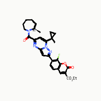 CCOC(=O)c1cc2ccc(-c3cc4nc(C(=O)N5CCCCC[C@H]5C)cc(C5(C)CC5)n4n3)c(F)c2oc1=O